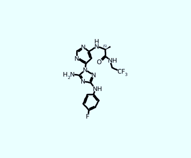 C[C@H](Nc1cc(-n2nc(Nc3ccc(F)cc3)nc2N)ncn1)C(=O)NCC(F)(F)F